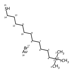 C[N+](C)(C)CCCCCCCCCCCS.[Au].[Br-]